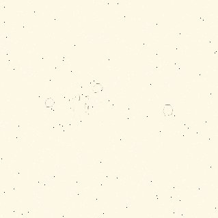 O=C(O)CCCNC(=O)C(NC(=O)OCc1ccccc1)C(NC(=O)OCc1ccccc1)C(=O)NCCOCCOCCOCCOCCC(=O)OCc1ccccc1